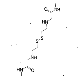 CNC(=O)CNCCSSCCNCC(=O)NC